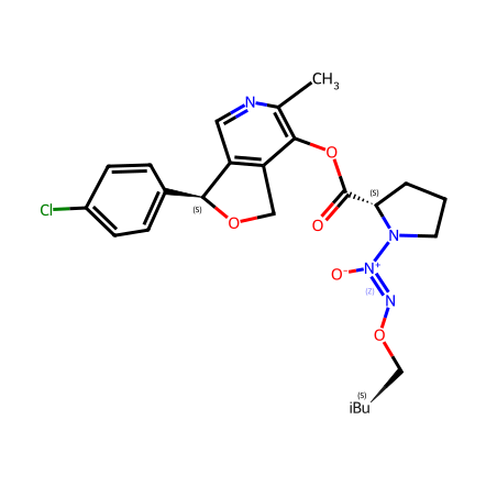 CC[C@H](C)CO/N=[N+](\[O-])N1CCC[C@H]1C(=O)Oc1c(C)ncc2c1CO[C@H]2c1ccc(Cl)cc1